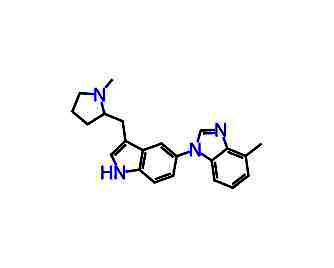 Cc1cccc2c1ncn2-c1ccc2[nH]cc(CC3CCCN3C)c2c1